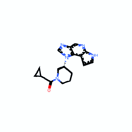 O=C(C1CC1)N1CCC[C@@H](n2cnc3cnc4[nH]ccc4c32)C1